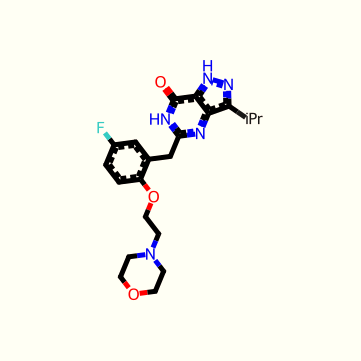 CC(C)c1n[nH]c2c(=O)[nH]c(Cc3cc(F)ccc3OCCN3CCOCC3)nc12